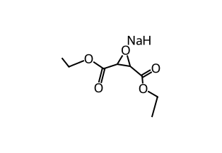 CCOC(=O)C1OC1C(=O)OCC.[NaH]